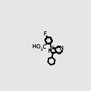 O=C(O)c1cc(F)ccc1-n1nc(C2CCCCC2)c2ccncc21